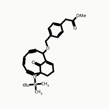 COC(=O)Cc1ccc(COC2C#CC=CC#CC3(O[Si](C)(C)C(C)(C)C)CCC=C2C3=O)cc1